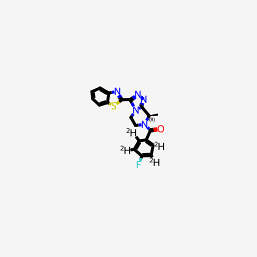 [2H]c1c([2H])c(C(=O)N2CCn3c(-c4nc5ccccc5s4)nnc3[C@H]2C)c([2H])c([2H])c1F